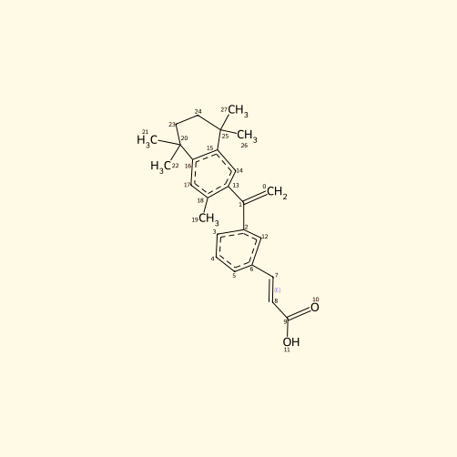 C=C(c1cccc(/C=C/C(=O)O)c1)c1cc2c(cc1C)C(C)(C)CCC2(C)C